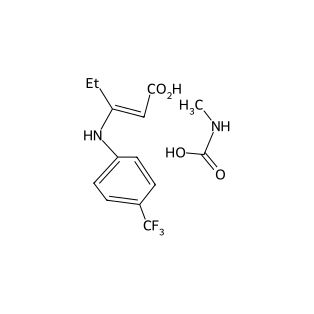 CCC(=CC(=O)O)Nc1ccc(C(F)(F)F)cc1.CNC(=O)O